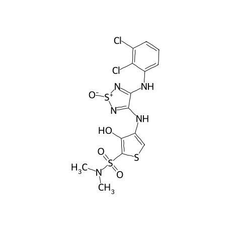 CN(C)S(=O)(=O)c1scc(Nc2n[s+]([O-])nc2Nc2cccc(Cl)c2Cl)c1O